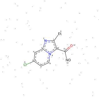 CCc1nc2cc(Cl)ccn2c1C(=O)N=O